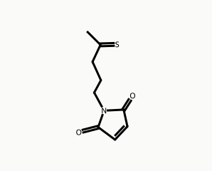 CC(=S)CCCN1C(=O)C=CC1=O